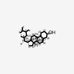 CC(C)C(C)CC(C)[C@@H](C)[C@H]1CC[C@H]2[C@@H]3CC=C4C[C@@H](O)CC[C@]4(C)[C@H]3CC[C@]12C